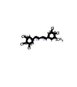 Cc1cc(/C=C/C=C/c2cc(Cl)c(Cl)c(Cl)c2)cc(Cl)c1Cl